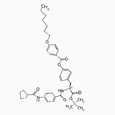 CCCCCCCOc1ccc(C(=O)Oc2ccc(C[C@H](NC(=O)c3ccc(NC(=O)C4CCCC4)cc3)C(=O)OC(C)(C)C)cc2)cc1